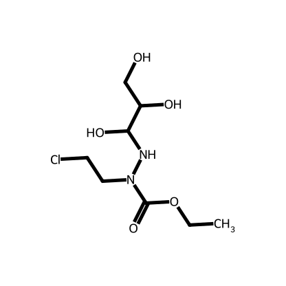 CCOC(=O)N(CCCl)NC(O)C(O)CO